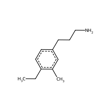 CCc1ccc(CCCN)cc1C